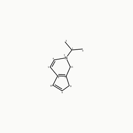 CC(C)N1C=CC2=C(CC=C2)C1